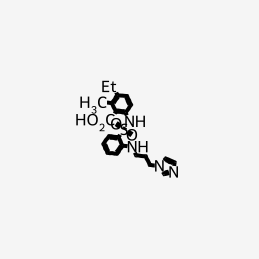 CCc1ccc(NS(=O)(=O)c2ccccc2NCCCn2ccnc2)c(C(=O)O)c1C